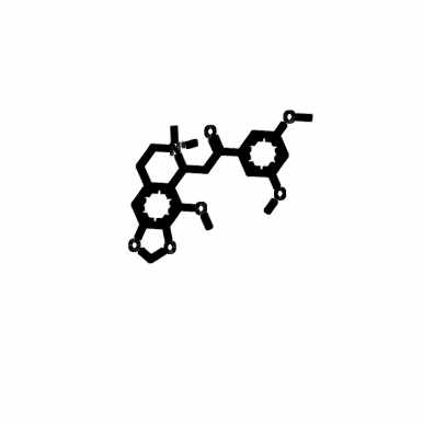 COc1cc(OC)cc(C(=O)CC2c3c(cc4c(c3OC)OCO4)CC[N+]2(C)C)c1